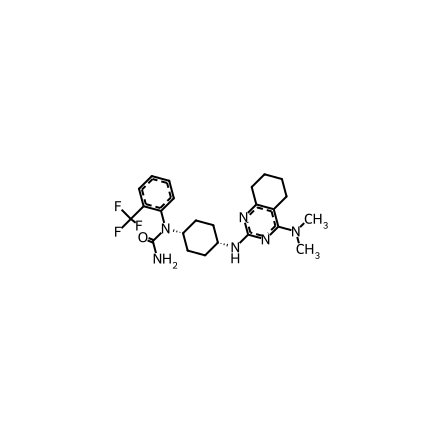 CN(C)c1nc(N[C@H]2CC[C@@H](N(C(N)=O)c3ccccc3C(F)(F)F)CC2)nc2c1CCCC2